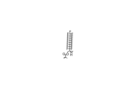 C=C(C)C(=O)OCC(NC)C(F)(F)C(F)(F)C(F)(F)C(F)(F)C(F)(F)C(F)(F)C(F)(F)C(F)(F)F